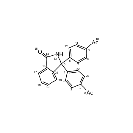 CC(=O)c1ccc(C2(c3ccc(C(C)=O)cc3)NC(=O)c3ccccc32)cc1